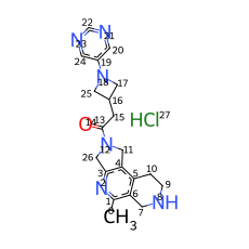 Cc1nc2c(c3c1CNCC3)CN(C(=O)CC1CN(c3cncnc3)C1)C2.Cl